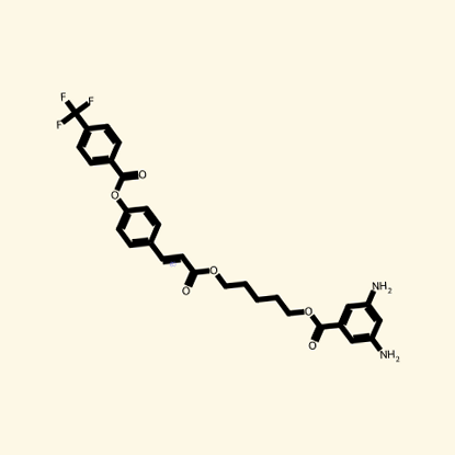 Nc1cc(N)cc(C(=O)OCCCCCOC(=O)/C=C/c2ccc(OC(=O)c3ccc(C(F)(F)F)cc3)cc2)c1